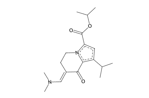 CC(C)OC(=O)c1cc(C(C)C)c2n1CCC(=CN(C)C)C2=O